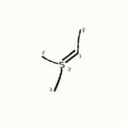 CC=S(C)C